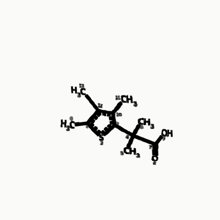 Cc1sc(C(C)(C)C(=O)O)c(C)c1C